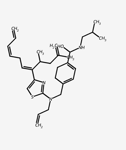 C=C/C=C\C/C=C(/c1csc(N(CC=C)CC2=CC=C(C(O)NCC(C)C)CC2)n1)C(C)CC(=C)C